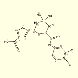 CN1C(C(=O)Nc2ccc(F)c(Cl)c2)CC(c2cc(C(=O)O)cs2)NS1(O)O